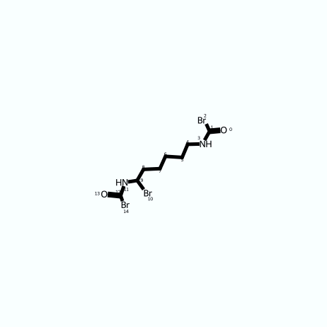 O=C(Br)NCCCCCC(Br)NC(=O)Br